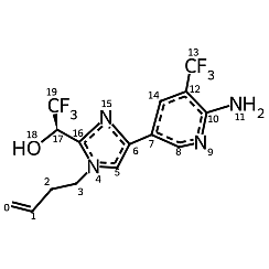 C=CCCn1cc(-c2cnc(N)c(C(F)(F)F)c2)nc1[C@@H](O)C(F)(F)F